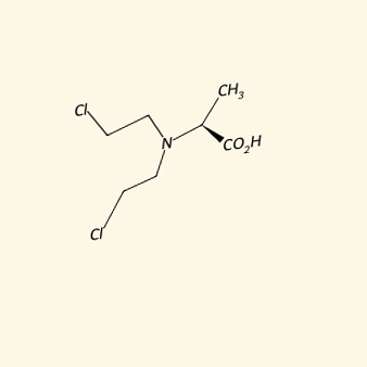 C[C@@H](C(=O)O)N(CCCl)CCCl